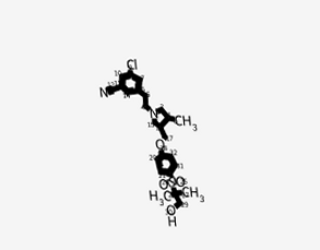 CC1CN(CCc2cc(Cl)cc(C#N)c2)CC1COc1ccc(S(=O)(=O)C(C)(C)CO)cc1